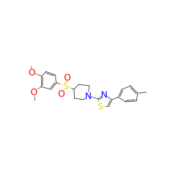 COc1ccc(S(=O)(=O)C2CCN(c3nc(-c4ccc(C)cc4)cs3)CC2)cc1OC